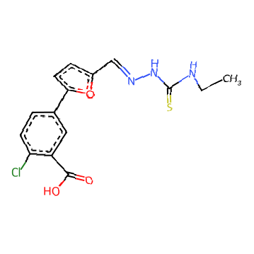 CCNC(=S)NN=Cc1ccc(-c2ccc(Cl)c(C(=O)O)c2)o1